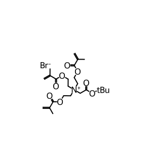 C=C(C)C(=O)OCC[N+](CCOC(=O)C(=C)C)(CCOC(=O)C(=C)C)CC(=O)OC(C)(C)C.[Br-]